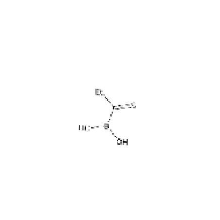 CCC(=S)B(O)O